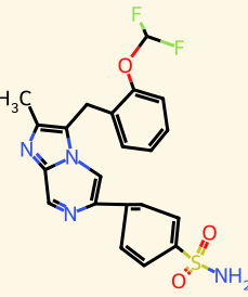 Cc1nc2cnc(-c3ccc(S(N)(=O)=O)cc3)cn2c1Cc1ccccc1OC(F)F